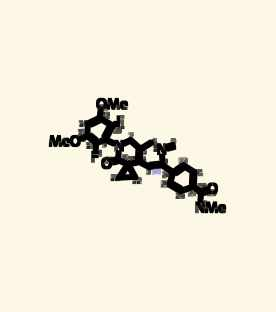 C=N/C(=C\C1=C(C)CN(c2c(F)c(OC)cc(OC)c2F)C(=O)C12CC2)c1ccc(C(=O)NC)cc1